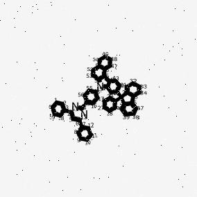 c1ccc(-c2cc(-c3ccccc3)nc(-c3ccc(-n4c5cc(C6(c7ccccc7)c7ccccc7-c7ccccc76)ccc5c5c6ccccc6ccc54)cc3)n2)cc1